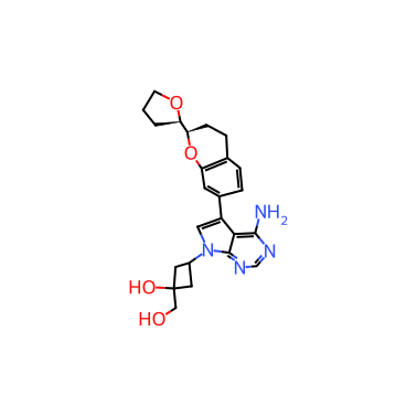 Nc1ncnc2c1c(-c1ccc3c(c1)O[C@@H]([C@H]1CCCO1)CC3)cn2C1CC(O)(CO)C1